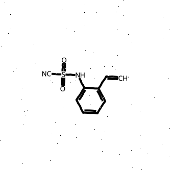 [CH]=Cc1ccccc1NS(=O)(=O)C#N